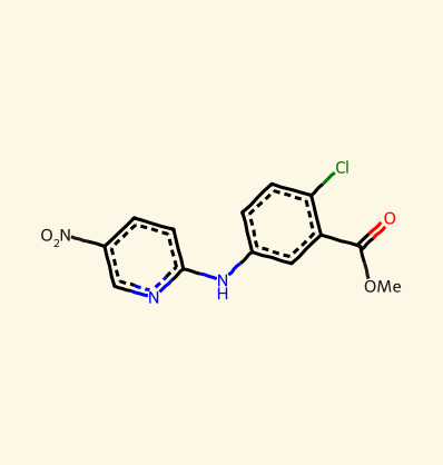 COC(=O)c1cc(Nc2ccc([N+](=O)[O-])cn2)ccc1Cl